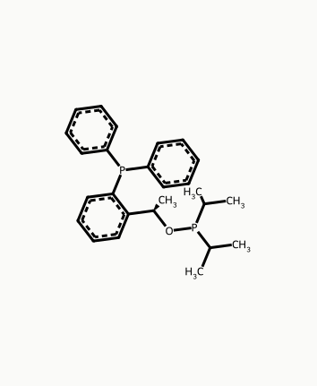 CC(C)P(O[C@H](C)c1ccccc1P(c1ccccc1)c1ccccc1)C(C)C